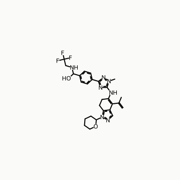 C=C(C)C1=C(Nc2nc(-c3ccc(C(O)NCC(F)(F)F)cc3)nn2C)CCc2c1cnn2C1CCCCO1